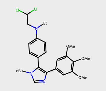 CCCCn1cnc(-c2cc(OC)c(OC)c(OC)c2)c1-c1ccc(N(CC)CC(Cl)Cl)cc1